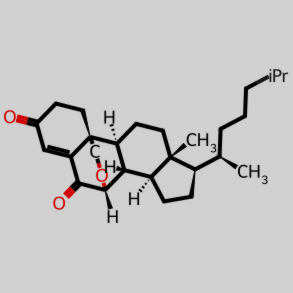 CC(C)CCC[C@@H](C)[C@H]1CC[C@H]2[C@@H]3[C@H]4OC[C@@]5(CCC(=O)C=C5C4=O)[C@H]3CC[C@]12C